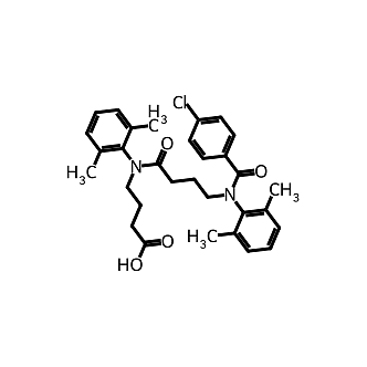 Cc1cccc(C)c1N(CCCC(=O)O)C(=O)CCCN(C(=O)c1ccc(Cl)cc1)c1c(C)cccc1C